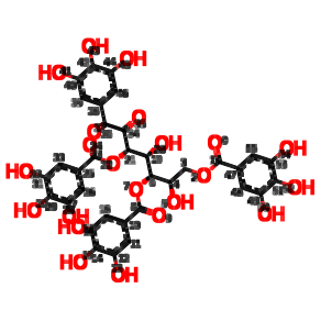 O=C(OC[C@@H](O)[C@@H](OC(=O)c1cc(O)c(O)c(O)c1)[C@H](O)[C@@H](OC(=O)c1cc(O)c(O)c(O)c1)C(=O)C(=O)c1cc(O)c(O)c(O)c1)c1cc(O)c(O)c(O)c1